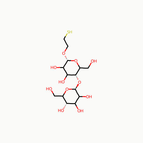 OCC1O[C@@H](O[C@H]2C(CO)O[C@@H](OCCS)C(O)C2O)C(O)C(O)[C@@H]1O